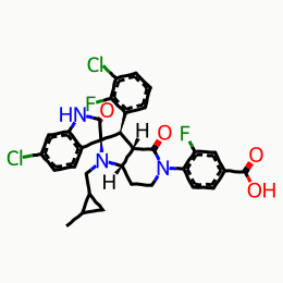 CC1CC1CN1[C@H]2CCN(c3ccc(C(=O)O)cc3F)C(=O)[C@H]2[C@H](c2cccc(Cl)c2F)[C@]12C(=O)Nc1cc(Cl)ccc12